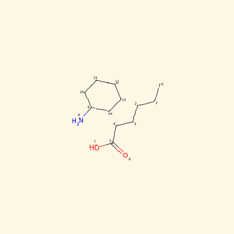 CCCCCC(=O)O.NC1CCCCC1